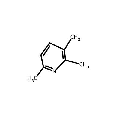 Cc1[c]cc(C)c(C)n1